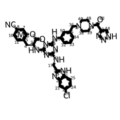 COC(=O)[C@H](Cc1ccc(C#N)cc1)Nc1nc(NCc2nc3cc(Cl)ccc3[nH]2)nc(Nc2cccc(CN3CCN(C(=O)c4c[nH]nn4)CC3)c2)n1